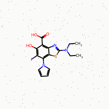 CCN(CC)c1nc2c(C(=O)O)c(O)c(I)c(-n3cccc3)c2s1